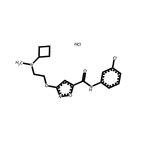 CN(CCOc1cc(C(=O)Nc2cccc(Cl)c2)on1)C1CCC1.Cl